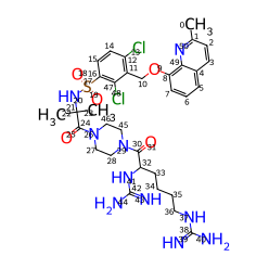 Cc1ccc2cccc(OCc3c(Cl)ccc(S(=O)(=O)NC(C)(C)C(=O)N4CCN(C(=O)C(CCCCNC(=N)N)NC(=N)N)CC4)c3Cl)c2n1